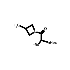 CCCCCCC(C(=O)N1CC(C)C1)C(C)(C)C